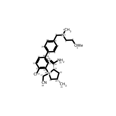 COCCN(C)Cc1ccc(-c2ccc(Cl)c([N+]3(CC#N)C[C@@H](C)C[C@H]3C(N)=O)c2)cc1